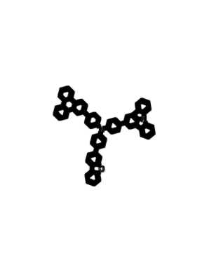 C1=CCC2C(=C1)C1=CC=C(C3=CC=C(N(c4ccc(-c5ccc6c(c5)oc5ccccc56)cc4)c4ccc(-c5cc6c7ccccc7n7c8ccccc8c(c5)c67)cc4)CC3)CC1c1ccccc12